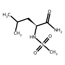 CC(C)C[C@H](NS(C)(=O)=O)C(N)=O